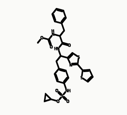 COC(=O)NC(Cc1ccccc1)C(=O)NC(Cc1ccc(NS(=O)(=O)OC2CC2)cc1)c1csc(-c2cccs2)n1